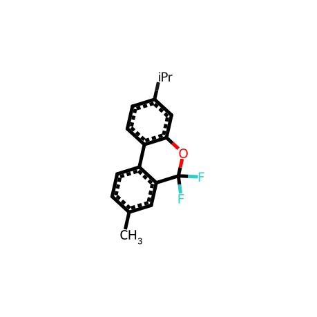 Cc1ccc2c(c1)C(F)(F)Oc1cc(C(C)C)ccc1-2